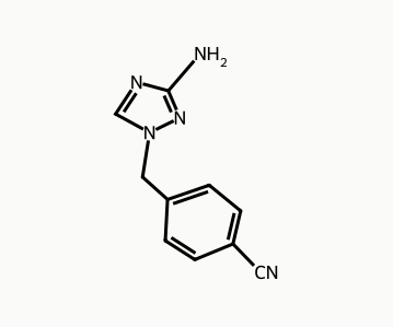 N#Cc1ccc(Cn2cnc(N)n2)cc1